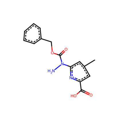 Cc1cc(C(=O)O)nc(N(N)C(=O)OCc2ccccc2)c1